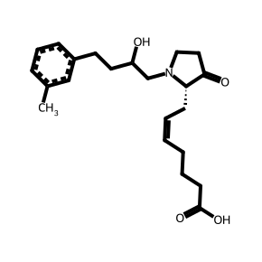 Cc1cccc(CCC(O)CN2CCC(=O)[C@@H]2C/C=C\CCCC(=O)O)c1